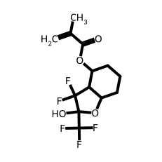 C=C(C)C(=O)OC1CCCC2OC(O)(C(F)(F)F)C(F)(F)C12